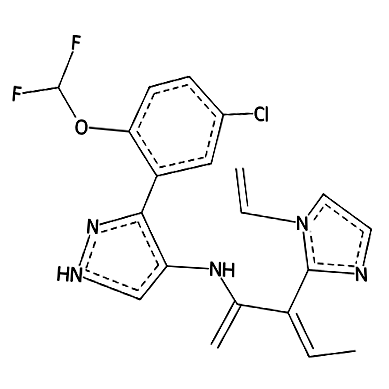 C=Cn1ccnc1/C(=C\C)C(=C)Nc1c[nH]nc1-c1cc(Cl)ccc1OC(F)F